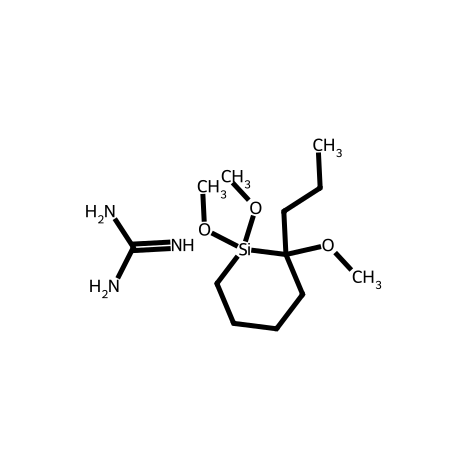 CCCC1(OC)CCCC[Si]1(OC)OC.N=C(N)N